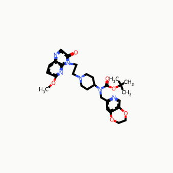 COc1ccc2ncc(=O)n(CCN3CCC(N(Cc4cc5c(cn4)OCCO5)C(=O)OC(C)(C)C)CC3)c2n1